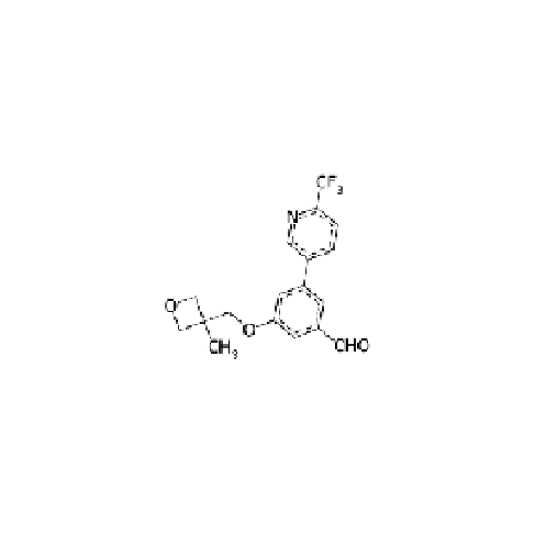 CC1(COc2cc(C=O)cc(-c3ccc(C(F)(F)F)nc3)c2)COC1